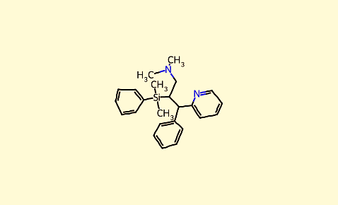 CN(C)CC(C(c1ccccc1)c1ccccn1)[Si](C)(C)c1ccccc1